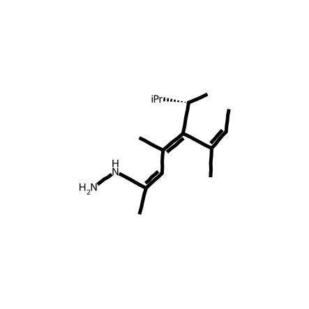 C\C=C(C)/C(=C(C)\C=C(\C)NN)[C@@H](C)C(C)C